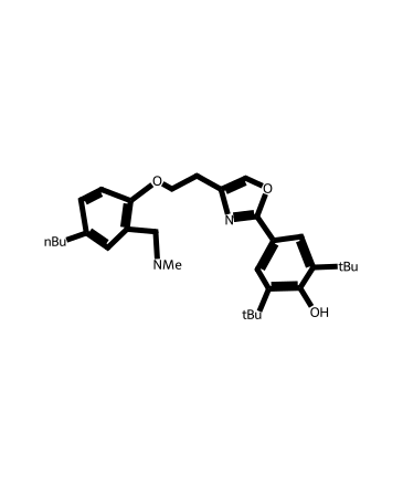 CCCCc1ccc(OCCc2coc(-c3cc(C(C)(C)C)c(O)c(C(C)(C)C)c3)n2)c(CNC)c1